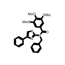 COc1cc(C(=O)N(Cc2ccccc2)c2nc(-c3ccccc3)cs2)cc(OC)c1OC